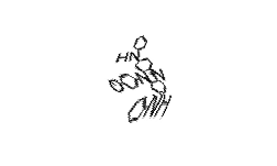 COc1ccc(-[n+]2c3cc(Nc4ccccc4)ccc3nc3ccc(Nc4ccccc4)cc32)cc1